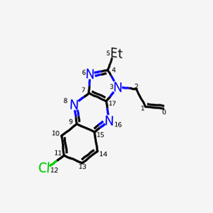 C=CCn1c(CC)nc2nc3cc(Cl)ccc3nc21